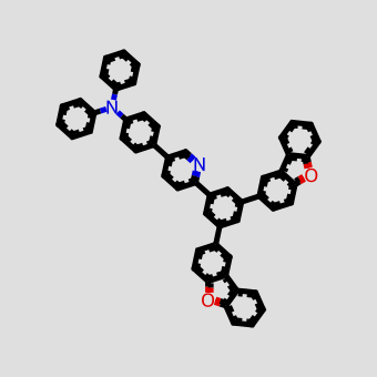 c1ccc(N(c2ccccc2)c2ccc(-c3ccc(-c4cc(-c5ccc6oc7ccccc7c6c5)cc(-c5ccc6oc7ccccc7c6c5)c4)nc3)cc2)cc1